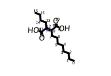 CCCCCCCC/C(C(=O)O)=C(/CCCC)C(=O)O